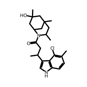 Cc1ccc2[nH]cc(C(C)CC(=O)N3C(C)CC4(C)CC3CC(C)(O)C4)c2c1Cl